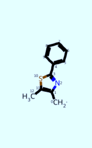 [CH2]c1nc(-c2ccccc2)sc1C